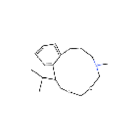 CC(C)C1CCCCCN(C)CCCc2ccccc21